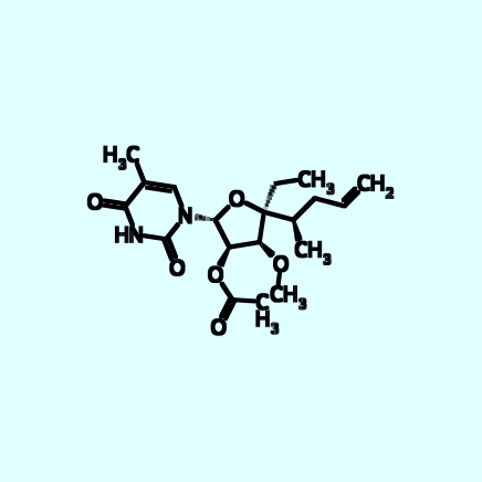 C=CC[C@@H](C)[C@]1(CC)O[C@@H](n2cc(C)c(=O)[nH]c2=O)[C@H](OC(C)=O)[C@@H]1OC